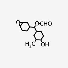 CC1CC(C(OC=O)C2CCC3OC3C2)CCC1O